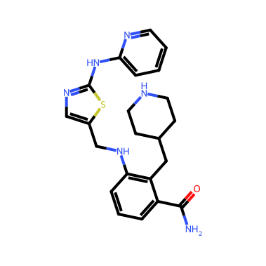 NC(=O)c1cccc(NCc2cnc(Nc3ccccn3)s2)c1CC1CCNCC1